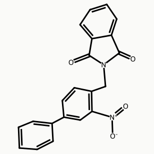 O=C1c2ccccc2C(=O)N1Cc1ccc(-c2ccccc2)cc1[N+](=O)[O-]